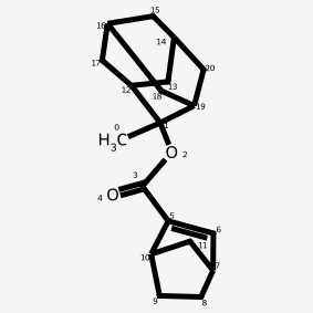 CC1(OC(=O)C2=CC3CCC2C3)C2CC3CC(C2)CC1C3